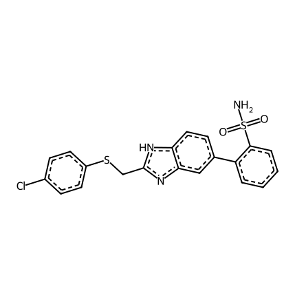 NS(=O)(=O)c1ccccc1-c1ccc2[nH]c(CSc3ccc(Cl)cc3)nc2c1